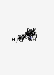 NS(=O)(=O)N1C=C(Sc2nonc2/C(=N/O)Nc2ccc(F)c(Br)c2)CC1